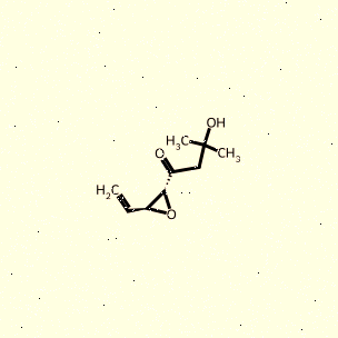 C=C[C@@H]1O[C@H]1C(=O)CC(C)(C)O